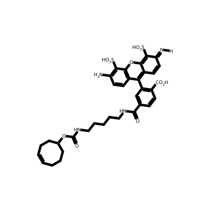 [H]/N=c1\ccc2c(-c3cc(C(=O)NCCCCCNC(=O)OC4CCC=CCCC4)ccc3C(=O)O)c3ccc(N)c(S(=O)(=O)O)c3oc-2c1S(=O)(=O)O